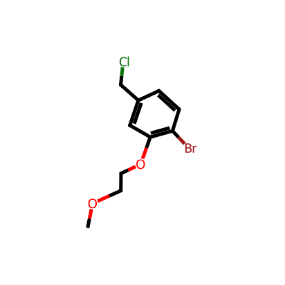 COCCOc1cc(CCl)ccc1Br